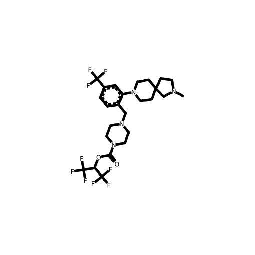 CN1CCC2(CCN(c3cc(C(F)(F)F)ccc3CN3CCN(C(=O)OC(C(F)(F)F)C(F)(F)F)CC3)CC2)C1